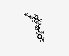 CC(NC(=O)c1ncnc(NCCO)c1Cl)c1cc(-c2nc3ccc(C(F)(F)F)cc3[nH]2)no1